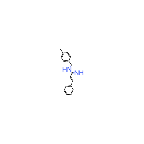 Cc1ccc(CNC(=N)/C=C/c2ccccc2)cc1